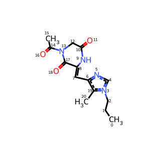 CCCn1cnc(/C=C2\NC(=O)CN(C(C)=O)C2=O)c1C